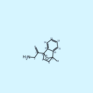 C=C(CN)C12CCC(C)(O1)c1ccccc12